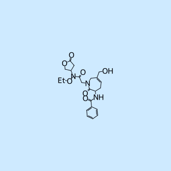 CCON(C(=O)CN1CC(CO)=CCC(NC(=O)c2ccccc2)C1=O)C1COC(=O)C1